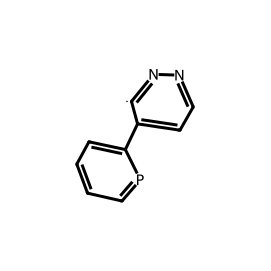 [c]1nnccc1-c1ccccp1